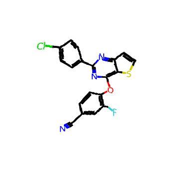 N#Cc1ccc(Oc2nc(-c3ccc(Cl)cc3)nc3ccsc23)c(F)c1